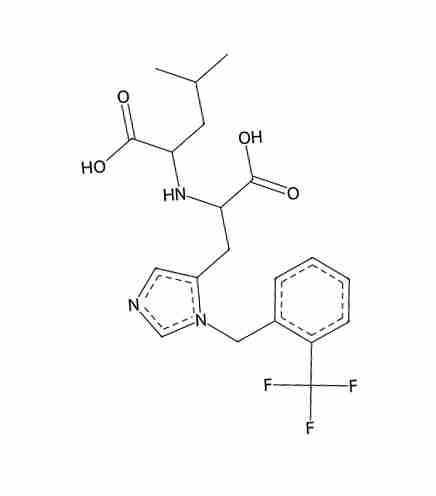 CC(C)CC(NC(Cc1cncn1Cc1ccccc1C(F)(F)F)C(=O)O)C(=O)O